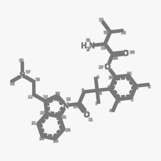 Cc1cc(C)c(C(C)(C)CC(=O)n2cc(CCN(C)C)c3ccccc32)c(OC(=O)C(N)C(C)C)c1